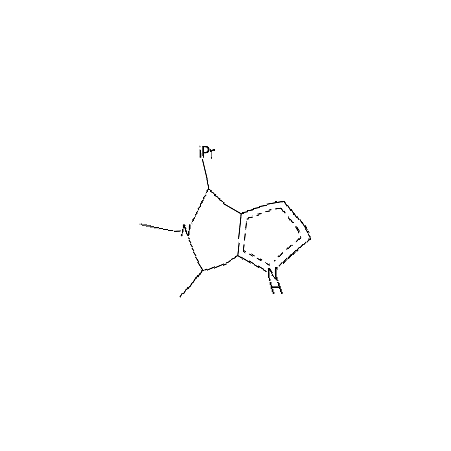 CC(C)C1c2cc[nH]c2C(C)N1C